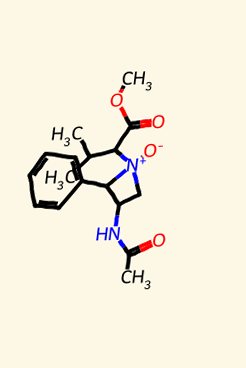 COC(=O)C(C(C)C)[N+]1([O-])CC(NC(C)=O)C1c1ccccc1